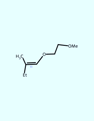 CC/C(C)=C/OCCOC